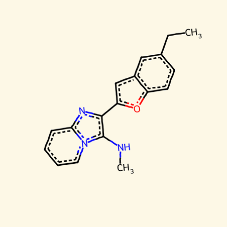 CCc1ccc2oc(-c3nc4ccccn4c3NC)cc2c1